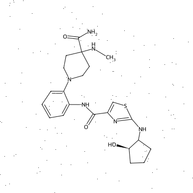 CNC1(C(N)=O)CCN(c2ccccc2NC(=O)c2csc(NC3CCC[C@H]3O)n2)CC1